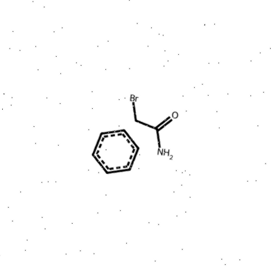 NC(=O)CBr.c1ccccc1